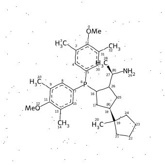 COc1c(C)cc(P(c2cc(C)c(OC)c(C)c2)C2C[C@H](C3(C)CCCC3)CC2[C@@H](C)N)cc1C